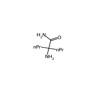 CCCC(N)(CCC)C(N)=O